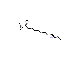 CC/C=C/CCCCCCCC(=O)N(C)C